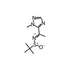 C/C(=N\[S+]([O-])C(C)(C)C)c1ncnn1C